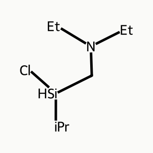 CCN(CC)C[SiH](Cl)C(C)C